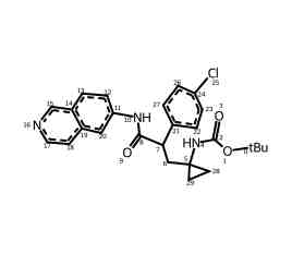 CC(C)(C)OC(=O)NC1(CC(C(=O)Nc2ccc3cnccc3c2)c2ccc(Cl)cc2)CC1